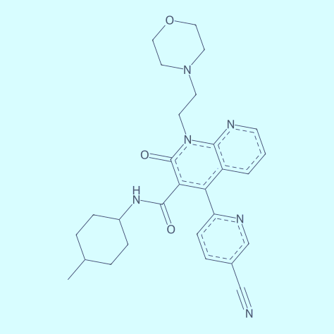 CC1CCC(NC(=O)c2c(-c3ccc(C#N)cn3)c3cccnc3n(CCN3CCOCC3)c2=O)CC1